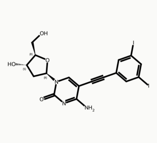 Nc1nc(=O)n([C@H]2C[C@H](O)[C@@H](CO)O2)cc1C#Cc1cc(I)cc(I)c1